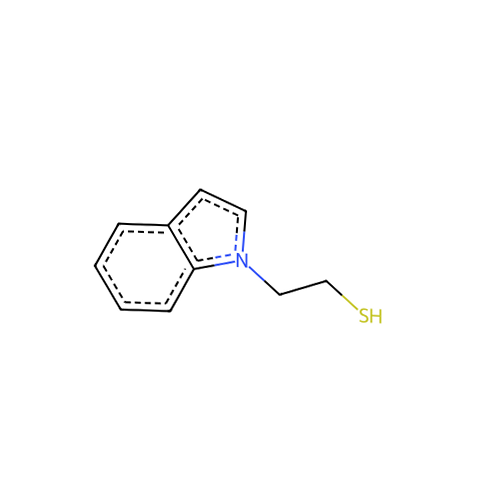 SCCn1ccc2ccccc21